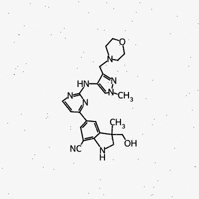 Cn1cc(Nc2nccc(-c3cc(C#N)c4c(c3)C(C)(CO)CN4)n2)c(CN2CCOCC2)n1